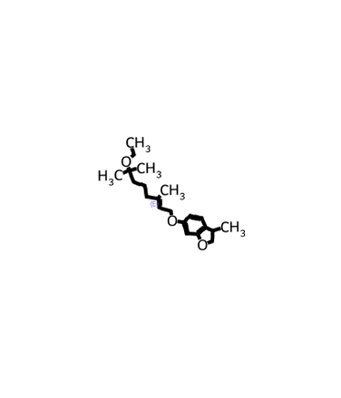 CCOC(C)(C)CCC/C(C)=C/COc1ccc2c(c1)OCC2C